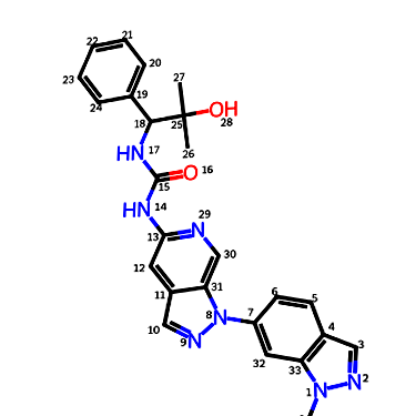 Cn1ncc2ccc(-n3ncc4cc(NC(=O)NC(c5ccccc5)C(C)(C)O)ncc43)cc21